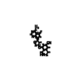 Cc1ncnc2c1c(F)cn2C1CC(Oc2cc(C#N)cc3c2CNCC3)CO1